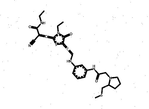 CCNC(=O)C(=C=c1sc(=C=CNc2cccc(NC(=O)CN3CCCC3CSC)c2)c(=O)n1CC)C#N